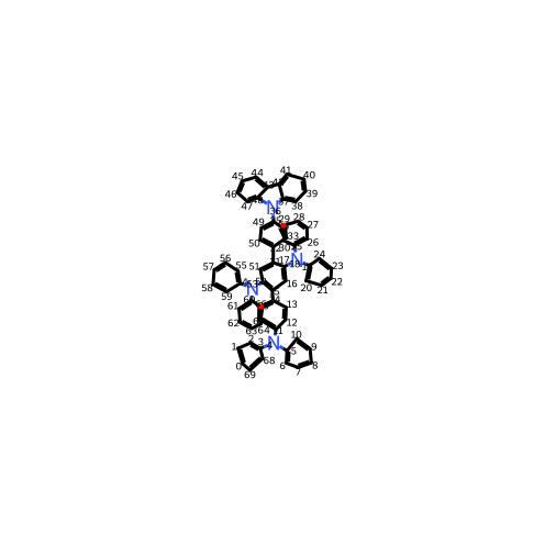 c1ccc(N(c2ccccc2)c2ccc(-c3cc(N(c4ccccc4)c4ccccc4)c(-c4ccc(-n5c6ccccc6c6ccccc65)cc4)cc3N(c3ccccc3)c3ccccc3)cc2)cc1